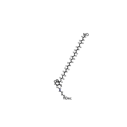 CCCCCCCCCCCCC/C=C/C[C@H](CO)C(I)C(=O)CCCCCCCCCCCCCCCCCCCCCCCCCCCCCN=O